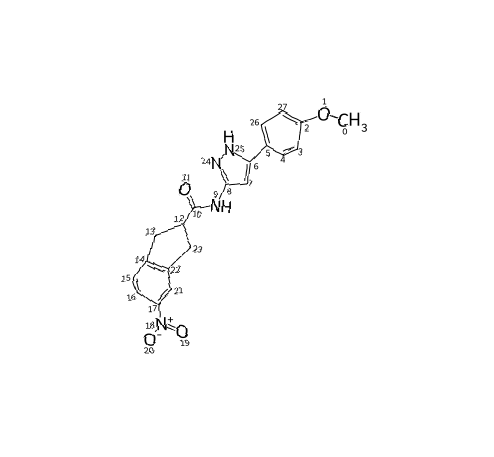 COc1ccc(-c2cc(NC(=O)C3Cc4ccc([N+](=O)[O-])cc4C3)n[nH]2)cc1